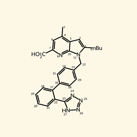 CCCCc1cc2c(C)cc(C(=O)O)nc2n1Cc1ccc(-c2ccccc2-c2nnn[nH]2)cc1